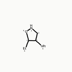 CCCC1CNOC1CC